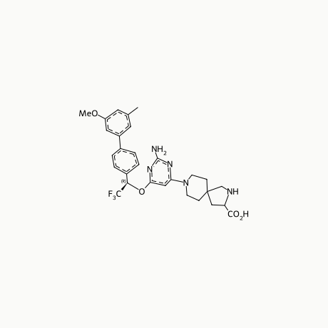 COc1cc(C)cc(-c2ccc([C@@H](Oc3cc(N4CCC5(CC4)CNC(C(=O)O)C5)nc(N)n3)C(F)(F)F)cc2)c1